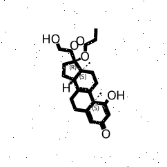 CCC(=O)O[C@]1(C(=O)CO)CC[C@H]2C3=C(CC[C@@]21C)[C@@]1(C)C(O)=CC(=O)C=C1CC3